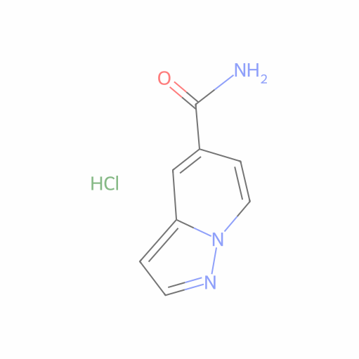 Cl.NC(=O)c1ccn2nccc2c1